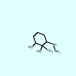 CC1(O)C(O)CCCC1NN